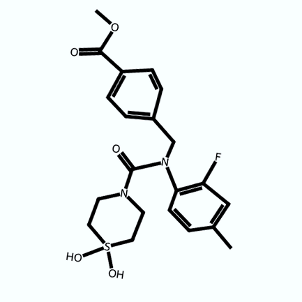 COC(=O)c1ccc(CN(C(=O)N2CCS(O)(O)CC2)c2ccc(C)cc2F)cc1